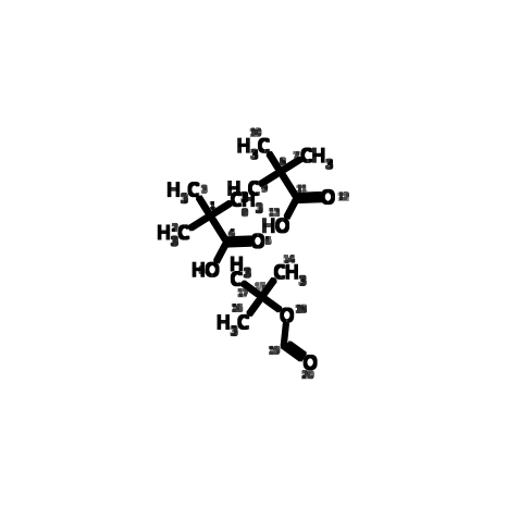 CC(C)(C)C(=O)O.CC(C)(C)C(=O)O.CC(C)(C)OC=O